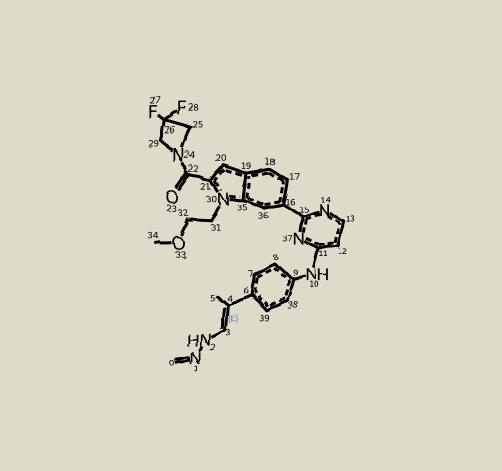 C=NN/C=C(\C)c1ccc(Nc2ccnc(-c3ccc4cc(C(=O)N5CC(F)(F)C5)n(CCOC)c4c3)n2)cc1